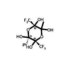 CC(C)[C@]1(O)O[C@@](O)(C(F)(F)F)C(C)(O)O[C@@]1(O)C(F)(F)F